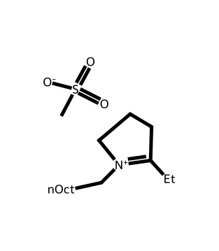 CCCCCCCCC[N+]1=C(CC)CCC1.CS(=O)(=O)[O-]